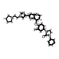 O=C1N(c2ccccc2)CCN1c1ccc(Oc2ccnc3cc(-c4cn(CCN5CCCC5)cn4)sc23)c(F)c1